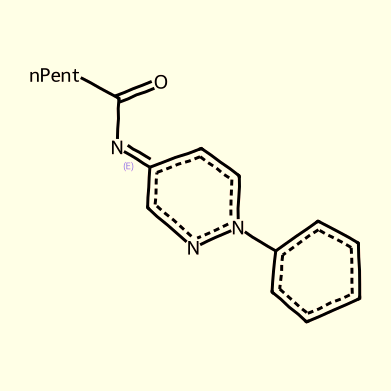 CCCCCC(=O)/N=c1\ccn(-c2ccccc2)nc1